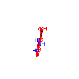 CCOCCOCCNC(=O)COCCOCCNC(=O)CCCNC(=O)CCCCCCCCCOc1ccc(C(=O)O)cc1